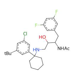 CC(=O)NC(Cc1cc(F)cc(F)c1)C(O)CNC1(c2cc(Cl)cc(C(C)(C)C)c2)CCCCC1